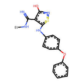 CCNC(=N)c1c(O)nsc1Nc1ccc(Oc2ccccc2)cc1